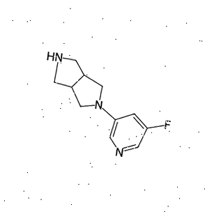 Fc1cncc(N2CC3CNCC3C2)c1